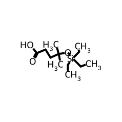 CC[Si](CC)(CC)OC(C)(C)CCC(=O)O